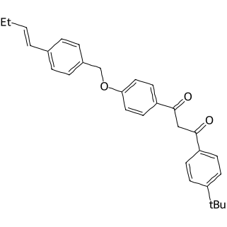 CC/C=C/c1ccc(COc2ccc(C(=O)CC(=O)c3ccc(C(C)(C)C)cc3)cc2)cc1